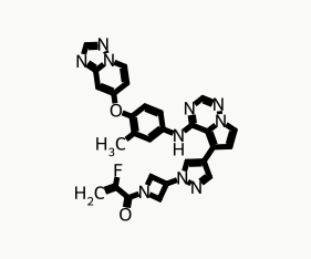 C=C(F)C(=O)N1CC(n2cc(-c3ccn4ncnc(Nc5ccc(Oc6ccn7ncnc7c6)c(C)c5)c34)cn2)C1